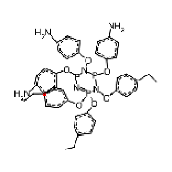 CCc1ccc(ON2P(Oc3ccc(N)cc3)N(Oc3ccc(N)cc3)P(Oc3ccc(N)cc3)N=P2(Oc2ccc(CC)cc2)Oc2ccc(CC)cc2)cc1